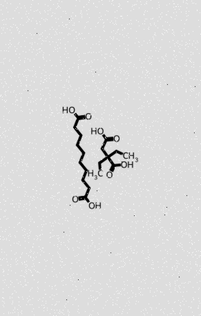 CCC(CC)(CC(=O)O)C(=O)O.O=C(O)CCCCCCCCC(=O)O